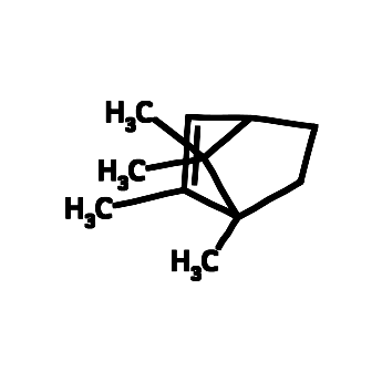 CC1=CC2CCC1(C)C2(C)C